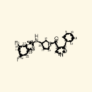 O=C(c1cnoc1-c1ccccc1)N1CCC(Nc2nc3cc(F)cc(F)c3s2)C1